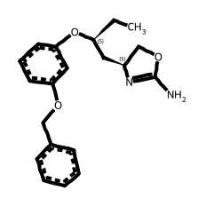 CC[C@@H](C[C@H]1COC(N)=N1)Oc1cccc(OCc2ccccc2)c1